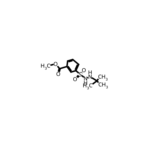 COC(=O)c1cccc(S(=O)(=O)NNC(C)(C)C)c1